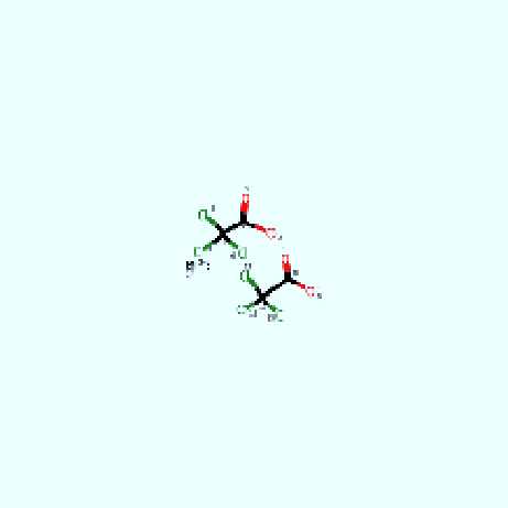 O=C([O-])C(Cl)(Cl)Cl.O=C([O-])C(Cl)(Cl)Cl.[Bi+2]